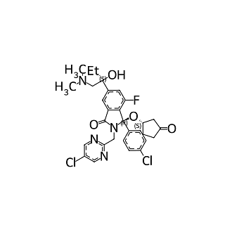 CC[C@@](O)(CN(C)C)c1cc(F)c2c(c1)C(=O)N(Cc1ncc(Cl)cn1)[C@@]2(O[C@H]1CCC(=O)C1)c1ccc(Cl)cc1